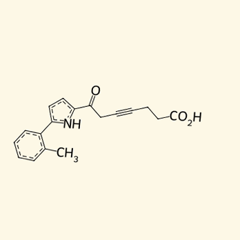 Cc1ccccc1-c1ccc(C(=O)CC#CCCC(=O)O)[nH]1